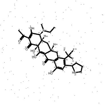 CCN(C)[C@@H]1C(O)=C(C(C)=O)C(=O)[C@@]2(O)C(O)=C3C(=O)c4c(O)cc(C5CCCN5)c(C(F)(F)F)c4C[C@H]3C[C@@H]12